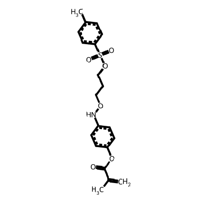 C=C(C)C(=O)Oc1ccc(NOCCCOS(=O)(=O)c2ccc(C)cc2)cc1